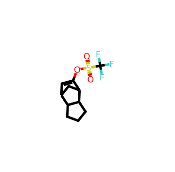 O=S(=O)(OC1=CC2CC1C1CCCC21)C(F)(F)F